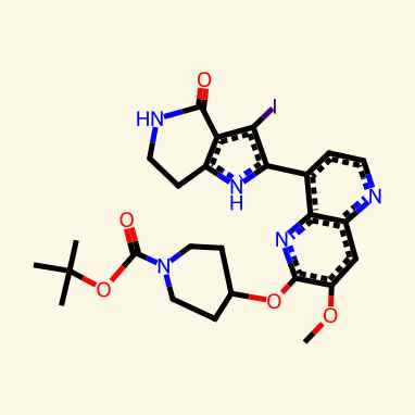 COc1cc2nccc(-c3[nH]c4c(c3I)C(=O)NCC4)c2nc1OC1CCN(C(=O)OC(C)(C)C)CC1